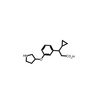 O=C(O)CC(c1cccc(OC2CCNC2)c1)C1CC1